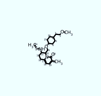 COCCC1CCC(OCC2C(NSC)CCc3ccc(C)c(=O)n32)CC1